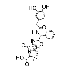 CC1(C)S[C@@H]2[C@H](NC(=O)C(NC(=O)Cc3ccc(O)c(O)c3)c3ccccc3)C(=O)N2[C@H]1C(=O)O